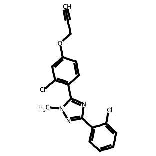 C#CCOc1ccc(-c2nc(-c3ccccc3Cl)nn2C)c(Cl)c1